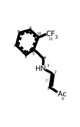 CC(=O)/C=C/NCc1ccccc1C(F)(F)F